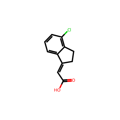 O=C(O)C=C1CCc2c(Cl)cccc21